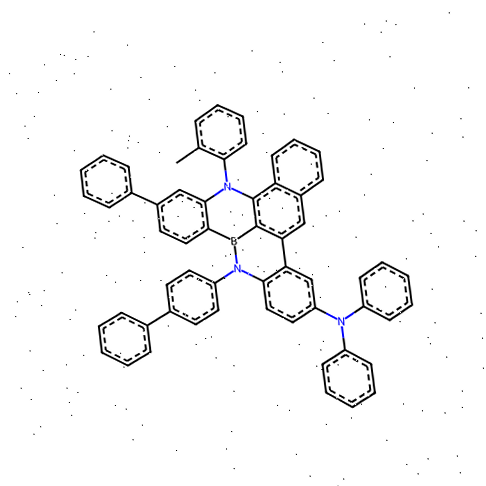 Cc1ccccc1N1c2cc(-c3ccccc3)ccc2B2c3c(cc4ccccc4c31)-c1cc(N(c3ccccc3)c3ccccc3)ccc1N2c1ccc(-c2ccccc2)cc1